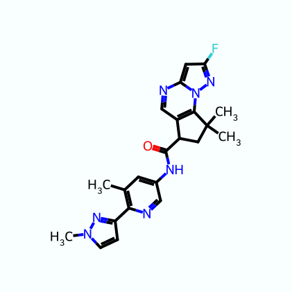 Cc1cc(NC(=O)C2CC(C)(C)c3c2cnc2cc(F)nn32)cnc1-c1ccn(C)n1